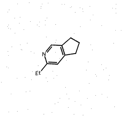 CCc1cc2c(cn1)CCC2